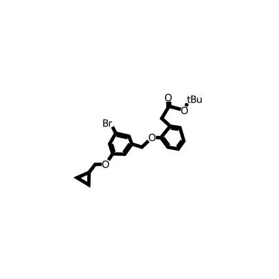 CC(C)(C)OC(=O)Cc1ccccc1OCc1cc(Br)cc(OCC2CC2)c1